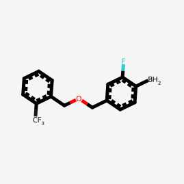 Bc1ccc(COCc2ccccc2C(F)(F)F)cc1F